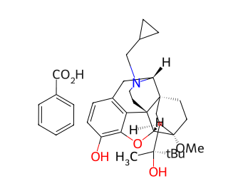 CO[C@@]12CC[C@@]3(C[C@@H]1[C@](C)(O)C(C)(C)C)[C@H]1Cc4ccc(O)c5c4[C@@]3(CCN1CC1CC1)[C@H]2O5.O=C(O)c1ccccc1